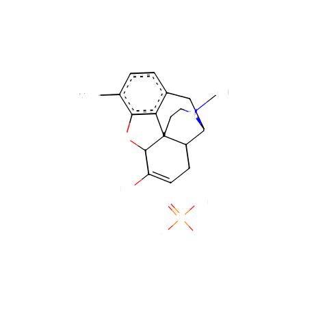 COc1ccc2c3c1OC1C(O)=CCC4C(C2)N(C)CCC314.O=P(O)(O)O